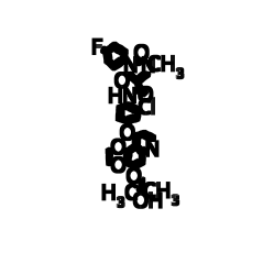 Cn1cc(C(=O)Nc2ccc(Oc3ccnc4cc(OCC(C)(C)O)c5c(c34)OCCO5)cc2Cl)c(=O)n(-c2ccc(F)cc2)c1=O